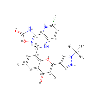 [2H]C([2H])([2H])n1cc(-c2oc3c([C@@H](C)Nc4ccc(Cl)nc4-c4noc(=O)[nH]4)cc(C)cc3c(=O)c2C)cn1